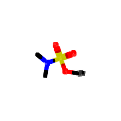 CC(C)OS(=O)(=O)N(C)C